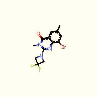 Cc1cc(Br)c2nc(N3CC(F)(F)C3)n(C)c(=O)c2c1